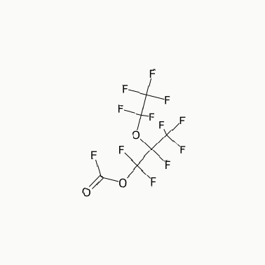 O=C(F)OC(F)(F)C(F)(OC(F)(F)C(F)(F)F)C(F)(F)F